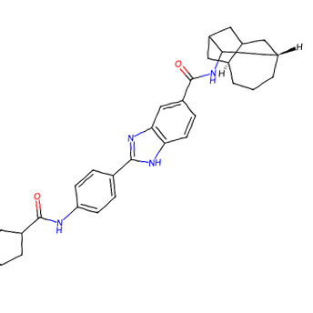 O=C(NC1C2CC3C[C@@H]1CCC[C@H]3C2)c1ccc2[nH]c(-c3ccc(NC(=O)C4CCCC4)cc3)nc2c1